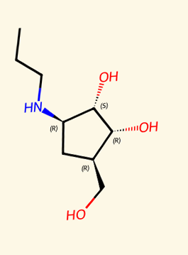 CCCN[C@@H]1C[C@H](CO)[C@@H](O)[C@H]1O